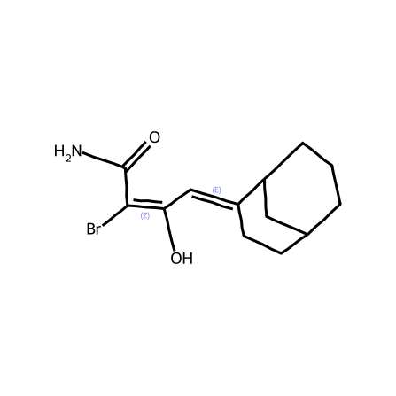 NC(=O)/C(Br)=C(O)\C=C1/CCC2CCCC1C2